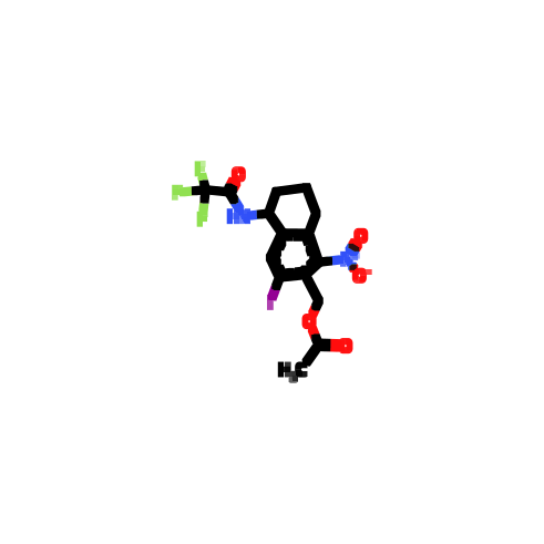 CC(=O)OCc1c(I)cc2c(c1[N+](=O)[O-])CCCC2NC(=O)C(F)(F)F